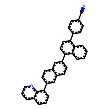 N#Cc1ccc(-c2ccc(-c3ccc4cc(-c5cccc6cccnc56)ccc4c3)c3ccccc23)cc1